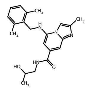 Cc1cn2c(NCc3c(C)cccc3C)cc(C(=O)NCC(C)O)cc2n1